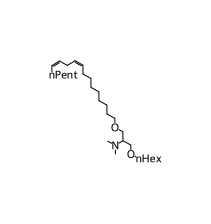 CCCCC/C=C\C/C=C\CCCCCCCCOCC(COCCCCCC)N(C)C